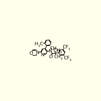 Cc1ccccc1-c1cc(N2C=COCC2)ncc1N(C)C(=O)C(C)(C)c1cc(C(F)(F)F)cc(C(F)(F)F)c1